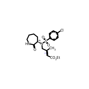 CCOC(=O)/C=C(\C)CN([C@@H]1CCCCNC1=O)S(=O)(=O)c1ccc(Cl)cc1